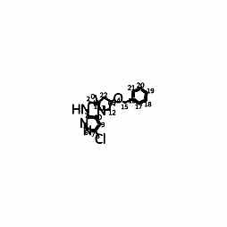 C[C@]12CNc3nnc(Cl)cc3N1C[C@H](OCc1ccccc1)C2